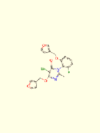 Cc1nc(OCc2ccoc2)c(Br)c(=O)n1-c1c(F)cccc1OCc1ccoc1